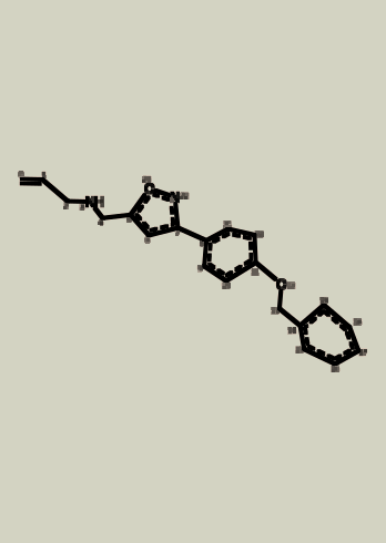 C=CCNCc1cc(-c2ccc(OCc3ccccc3)cc2)no1